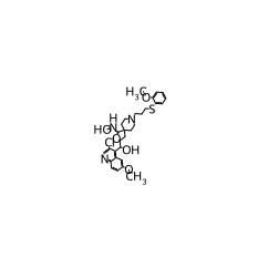 COc1ccc2ncc(Cl)c([C@H](O)CCC3(C(=O)NO)CCN(CCCSc4ccccc4OC)CC3)c2c1